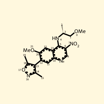 COC[C@@H](C)Nc1c([N+](=O)[O-])cnc2cc(-c3c(C)noc3C)c(OC)cc12